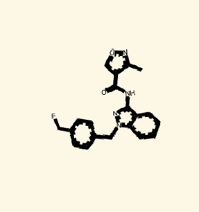 Cc1nocc1C(=O)Nc1nn(Cc2ccc(CF)cc2)c2ccccc12